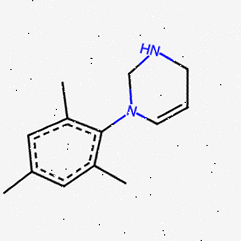 Cc1cc(C)c(N2C=CCNC2)c(C)c1